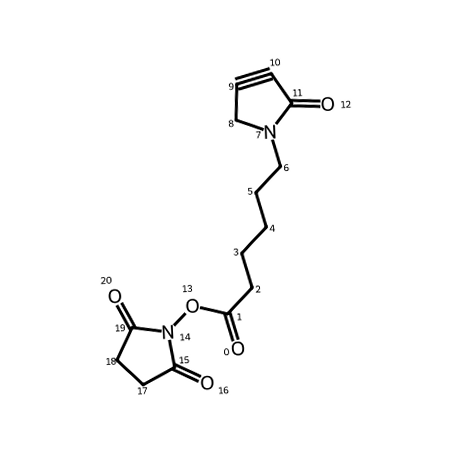 O=C(CCCCCN1CC#CC1=O)ON1C(=O)CCC1=O